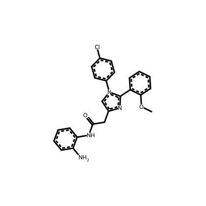 COc1ccccc1-c1nc(CC(=O)Nc2ccccc2N)cn1-c1ccc(Cl)cc1